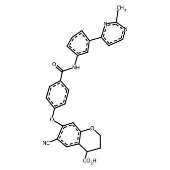 Cc1nccc(-c2cccc(NC(=O)c3ccc(Oc4cc5c(cc4C#N)C(C(=O)O)CCO5)cc3)c2)n1